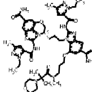 CCn1nc(C)cc1C(=O)Nc1nc2cc(C(N)=O)cc(OCCCN(C)C(=O)C(C)(C)N3CCOCC3)c2n1CCC[C@H]1COc2cc(C(N)=O)cc3nc(NC(=O)c4cc(C)nn4CC)n1c23